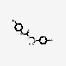 CC(=O)c1ccc(N(N)CSC(=S)Nc2ccc(Br)cc2)cn1